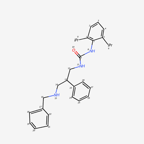 CC(C)c1cccc(C(C)C)c1NC(=O)NCC(CNCc1ccccc1)c1ccccc1